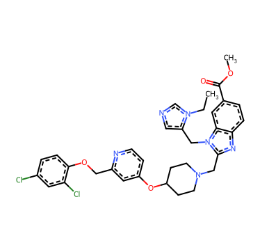 CCn1cncc1Cn1c(CN2CCC(Oc3ccnc(COc4ccc(Cl)cc4Cl)c3)CC2)nc2ccc(C(=O)OC)cc21